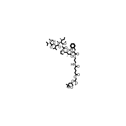 CC[C@H](C)[C@@H]([C@@H](CC(=O)N1CCC[C@H]1[C@H](OC)[C@@H](C)C(=O)N[C@@H](Cc1ccccc1)C(=O)OCCCNC(=O)CCCC(=O)OCC(OC)OC(CO)CC(C)(C)C)OC)N(C)C(=O)[C@@H](NC(=O)[C@H](C(C)C)N(C)C)C(C)C